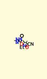 CCN1C(=O)C(C#N)=C(C)/C(=C/c2cc3c(nc(C)n3C)n2-c2ccccc2)C1=O